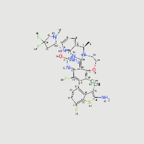 C[C@H](c1cccnc1N)N1CCOc2c(Cl)c(-c3ccc(F)c4sc(N)c(C#N)c34)c(F)c3nc(OC[C@@H]4CC(F)(F)CN4C)nc1c23